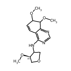 COC1C=Cc2c(NC3COC[C@H]3OC)ncnc2C1OC